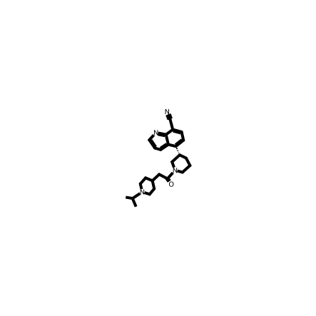 CC(C)N1CCC(CC(=O)N2CCC[C@@H](c3ccc(C#N)c4ncccc34)C2)CC1